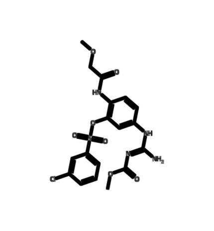 COCC(=O)Nc1ccc(NC(N)=NC(=O)OC)cc1OS(=O)(=O)c1cccc(Cl)c1